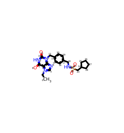 CCn1cnc2c1c(=O)[nH]c(=O)n2Cc1ccc(CNS(=O)(=O)CC2CCCC2)cc1